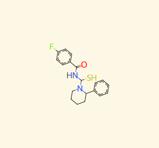 O=C(NC(S)N1CCCCC1c1ccccc1)c1ccc(F)cc1